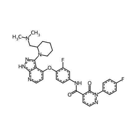 CN(C)CC1CCCCN1c1n[nH]c2nccc(Oc3ccc(NC(=O)c4ccnn(-c5ccc(F)cc5)c4=O)cc3F)c12